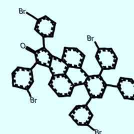 O=c1c(-c2cccc(Br)c2)c2c3cccc4c5c(-c6cccc(Br)c6)cc(-c6ccccc6)c(-c6cccc(Br)c6)c5c5cccc(c2c1-c1cccc(Br)c1)c5c43